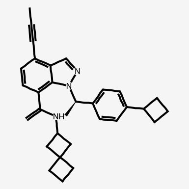 C=C(NC1CC2(CCC2)C1)c1ccc(C#CC)c2cnn([C@H](C)c3ccc(C4CCC4)cc3)c12